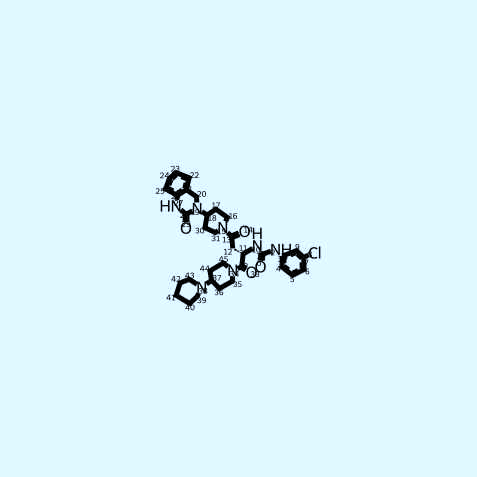 O=C(Nc1cccc(Cl)c1)N[C@@H](CC(=O)N1CCC(N2Cc3ccccc3NC2=O)CC1)C(=O)N1CCC(N2CCCCC2)CC1